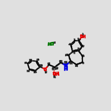 Cl.Oc1ccc2c(c1)CCCC(NC[C@H](O)COc1ccccc1)C2